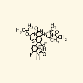 C=CC(=O)N1[C@H](C)CN(c2nc(=O)n3c4c(c(-c5ccc(F)c6[nH]c(=O)[nH]c56)c(C(F)(F)F)cc24)SCC(OC(C)C)C3)C[C@@H]1C